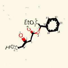 CCOC(=O)C(OC(=O)CC(=O)CC(=O)O)c1ccccc1